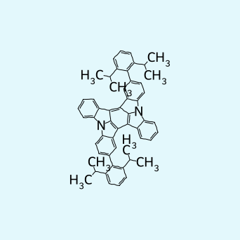 CC(C)c1cccc(C(C)C)c1-c1ccc2c(c1)c1c3c4ccccc4n4c5ccc(-c6c(C(C)C)cccc6C(C)C)cc5c(c5c6ccccc6n2c51)c34